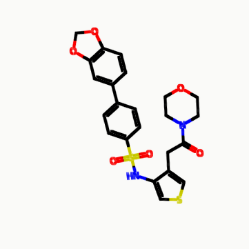 O=C(Cc1cscc1NS(=O)(=O)c1ccc(-c2ccc3c(c2)OCO3)cc1)N1CCOCC1